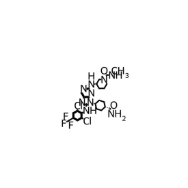 CNC(=O)N1CCC[C@@H](Nc2ncc3nc(Nc4c(Cl)cc(C(F)(F)F)cc4Cl)n([C@H]4CC[C@@H](C(N)=O)CC4)c3n2)C1